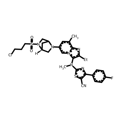 CCc1nc2c(C)cc(N3C[C@H]4CC3CN4S(=O)(=O)CCCCl)cn2c1N(C)c1nc(-c2ccc(F)cc2)c(C#N)s1